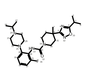 CC(C)c1nc(C2(C)CCN(C(=O)Nc3c(F)cccc3N3CCN(C(C)C)CC3)CC2)no1